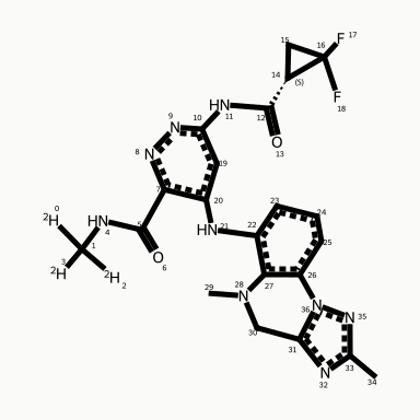 [2H]C([2H])([2H])NC(=O)c1nnc(NC(=O)[C@@H]2CC2(F)F)cc1Nc1cccc2c1N(C)Cc1nc(C)nn1-2